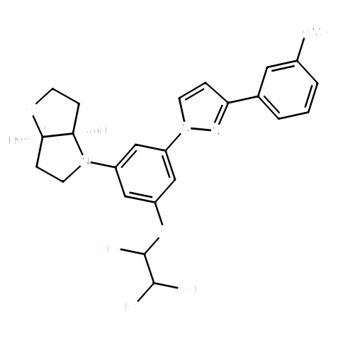 CCC(O)C(O)Oc1cc(N2CC[C@H]3OCC[C@H]32)cc(-n2ccc(-c3cccc(OC)c3)n2)c1